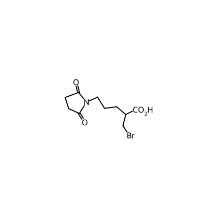 O=C(O)C(CBr)CCCN1C(=O)CCC1=O